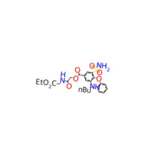 CCCCNc1cc(C(=O)OCC(=O)NCC(=O)OCC)cc(S(N)(=O)=O)c1Oc1ccccc1